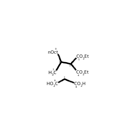 CCCCCCCCC(C)C(C(=O)OCC)C(=O)OCC.O=C(O)CC(=O)O